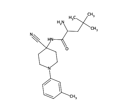 Cc1cccc(N2CCC(C#N)(NC(=O)C(N)CC(C)(C)C)CC2)c1